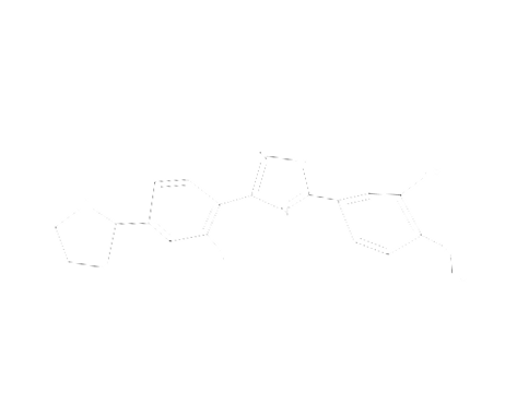 CC(C)Oc1ccc(-c2nc(-c3ccc(C4OCCO4)cc3Cl)no2)cc1C(F)(F)F